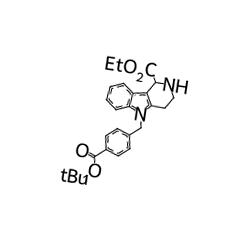 CCOC(=O)C1NCCc2c1c1ccccc1n2Cc1ccc(C(=O)OC(C)(C)C)cc1